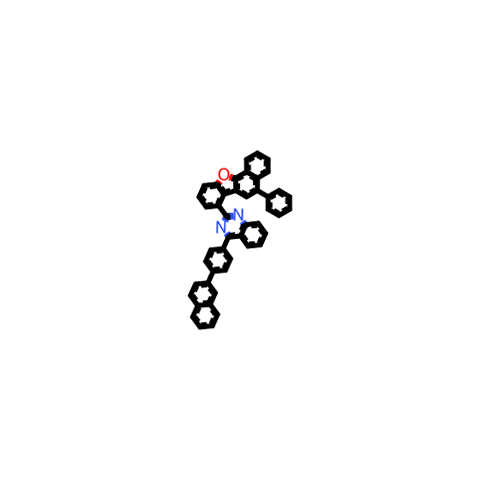 c1ccc(-c2cc3c(oc4cccc(-c5nc(-c6ccc(-c7ccc8ccccc8c7)cc6)c6ccccc6n5)c43)c3ccccc23)cc1